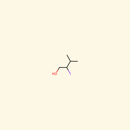 CC(C)C(I)CO